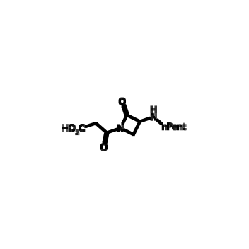 CCCCCNC1CN(C(=O)CC(=O)O)C1=O